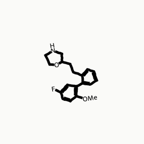 COc1ccc(F)cc1-c1ccccc1CCC1CNCCO1